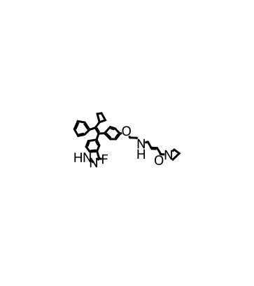 O=C(C=CCNCCOc1ccc(C(=C(c2ccccc2)C2CCC2)c2ccc3[nH]nc(F)c3c2)cc1)N1CCC1